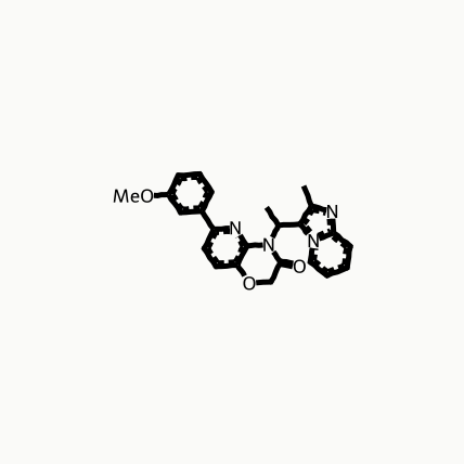 COc1cccc(-c2ccc3c(n2)N(C(C)c2c(C)nc4ccccn24)C(=O)CO3)c1